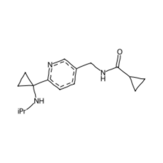 CC(C)NC1(c2ccc(CNC(=O)C3CC3)cn2)CC1